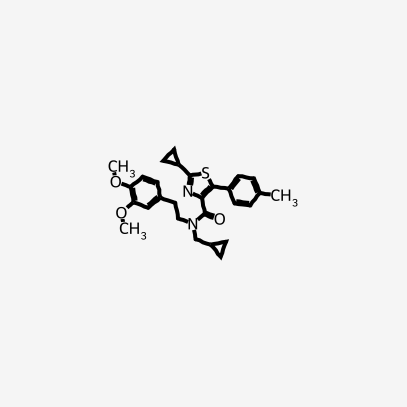 COc1ccc(CCN(CC2CC2)C(=O)c2nc(C3CC3)sc2-c2ccc(C)cc2)cc1OC